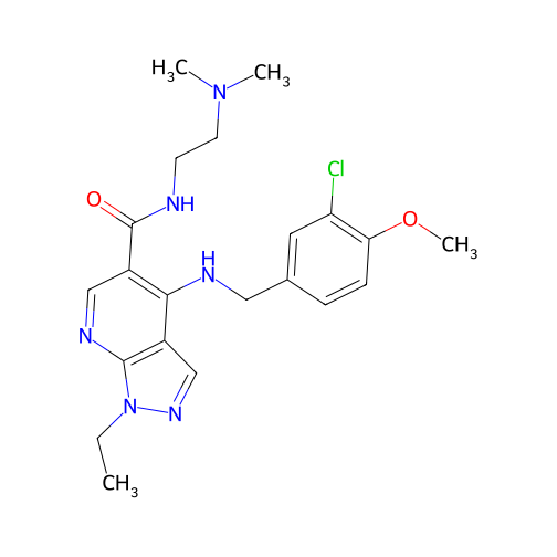 CCn1ncc2c(NCc3ccc(OC)c(Cl)c3)c(C(=O)NCCN(C)C)cnc21